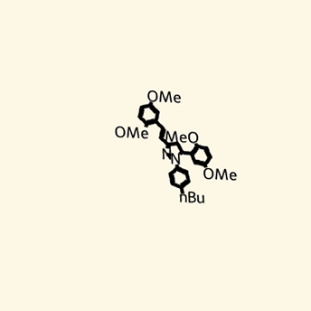 CCCCc1ccc(N2N=C(C=Cc3cc(OC)ccc3OC)CC2c2cc(OC)ccc2OC)cc1